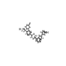 CC(N)(c1ccc(F)cc1)c1cnc(C2=CCN(c3ncnn4cc(-c5cn[nH]c5)cc34)CC2)nc1